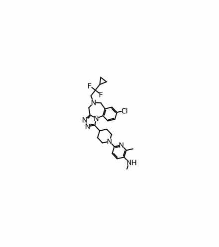 CNc1ccc(N2CCC(c3nnc4n3-c3ccc(Cl)cc3CN(CC(F)(F)C3CC3)C4)CC2)nc1C